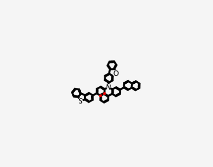 c1ccc(-c2ccc(-c3ccc4ccccc4c3)cc2N(c2ccc(-c3ccc4sc5ccccc5c4c3)cc2)c2ccc3c(c2)oc2ccccc23)cc1